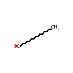 C=CCCCCCCCCCCCCCC=C=O